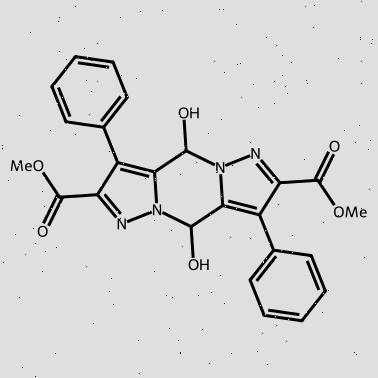 COC(=O)c1nn2c(c1-c1ccccc1)C(O)n1nc(C(=O)OC)c(-c3ccccc3)c1C2O